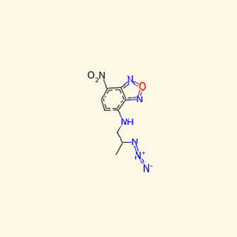 CC(CNc1ccc([N+](=O)[O-])c2nonc12)N=[N+]=[N-]